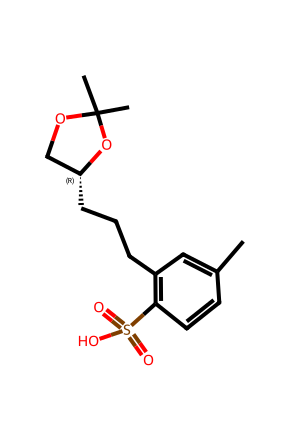 Cc1ccc(S(=O)(=O)O)c(CCC[C@@H]2COC(C)(C)O2)c1